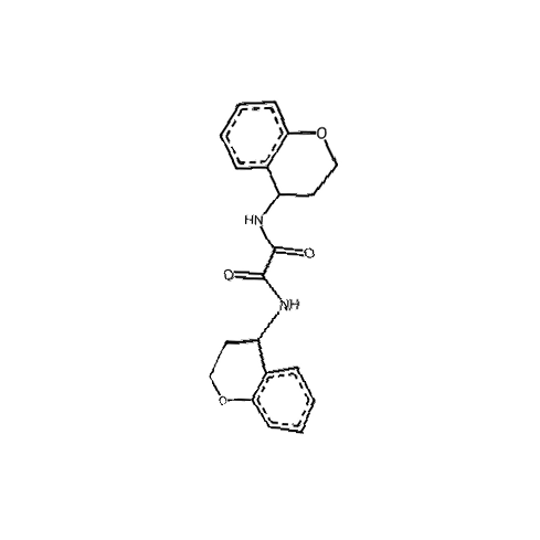 O=C(NC1CCOc2ccccc21)C(=O)NC1CCOc2ccccc21